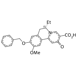 CC[C@H]1Cc2cc(OCc3ccccc3)c(OC)cc2-c2cc(=O)c(C(=O)O)cn21